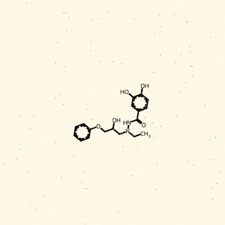 CCN(CC(O)COc1ccccc1)NC(=O)c1ccc(O)c(O)c1